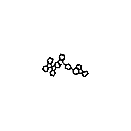 c1ccc2c(c1)-c1cccc3c(-c4ccc(-n5c6ccccc6c6cc7c(cc65)-c5ccccc5C75c6ccccc6-c6ccccc65)cc4)ccc-2c13